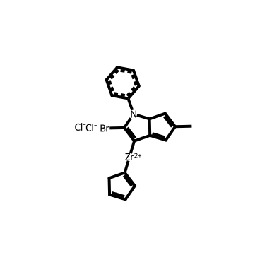 CC1=CC2C(=C1)[C]([Zr+2][C]1=CC=CC1)=C(Br)N2c1ccccc1.[Cl-].[Cl-]